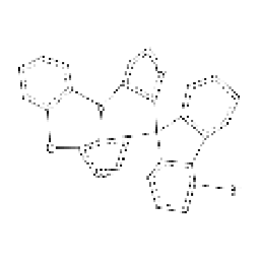 Brc1cccc2c1-c1ccccc1C21c2ccccc2N2c3ccccc3Oc3cccc1c32